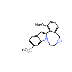 COc1cccc2c1-c1cc3ccc(C(=O)O)cc3n1CCNC2